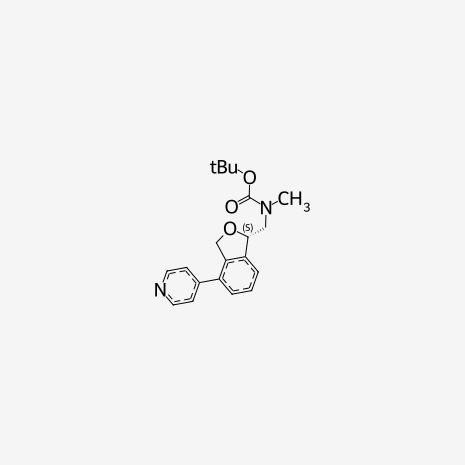 CN(C[C@H]1OCc2c(-c3ccncc3)cccc21)C(=O)OC(C)(C)C